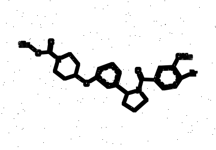 COc1cc(C(=O)N2CCCC2c2cccc(OC3CCN(C(=O)OC(C)(C)C)CC3)c2)ccc1Br